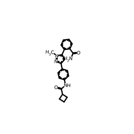 Cn1nc(-c2ccc(NC(=O)C3CCC3)cc2)cc1-c1ccccc1C(N)=O